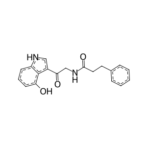 O=C(CCc1ccccc1)NCC(=O)c1c[nH]c2cccc(O)c12